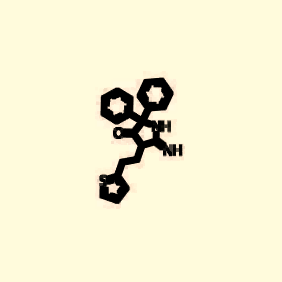 N=C1NC(c2ccccc2)(c2ccccc2)C(=O)C1CCc1cccs1